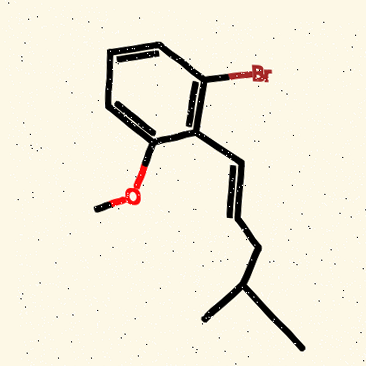 COc1cccc(Br)c1/C=C/CC(C)C